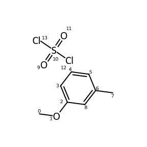 COc1cccc(C)c1.O=S(=O)(Cl)Cl